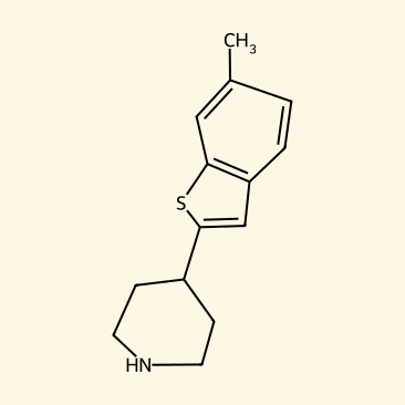 Cc1ccc2cc(C3CCNCC3)sc2c1